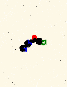 O=C(CCN1CCC(c2ccccn2)CC1)c1ccc(Cl)cc1